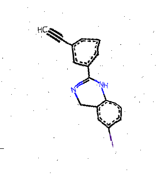 C#Cc1cccc(C2=N[CH]c3cc(I)ccc3N2)c1